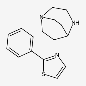 C1CN2CCC(CC2)N1.c1ccc(-c2nccs2)cc1